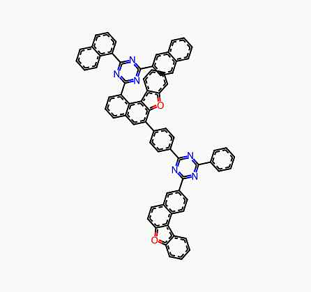 c1ccc(-c2nc(-c3ccc(-c4cc5cccc(-c6nc(-c7ccc8ccccc8c7)nc(-c7cccc8ccccc78)n6)c5c5c4oc4ccccc45)cc3)nc(-c3ccc4c(ccc5oc6ccccc6c54)c3)n2)cc1